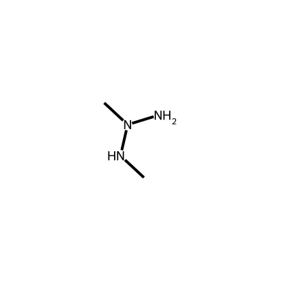 CNN(C)N